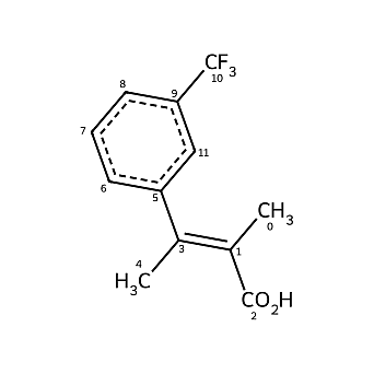 CC(C(=O)O)=C(C)c1cccc(C(F)(F)F)c1